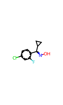 O/N=C(/c1ccc(Cl)cc1F)C1CC1